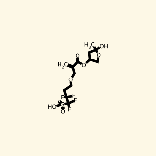 C=C(COCCC(F)(F)C(F)(F)S(=O)(=O)O)C(=O)OC1COC(C)(O)C1